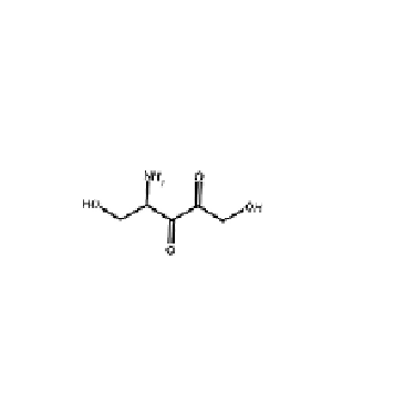 NC(CO)C(=O)C(=O)CO